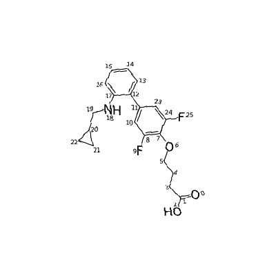 O=C(O)CCCOc1c(F)cc(-c2ccccc2NCC2CC2)cc1F